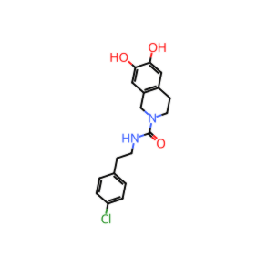 O=C(NCCc1ccc(Cl)cc1)N1CCc2cc(O)c(O)cc2C1